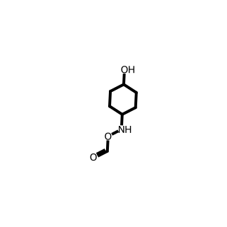 O=CONC1CCC(O)CC1